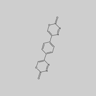 O=c1nnc(-c2ccc(-c3coc(=O)nn3)cc2)co1